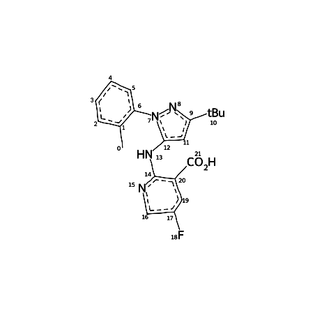 Cc1ccccc1-n1nc(C(C)(C)C)cc1Nc1ncc(F)cc1C(=O)O